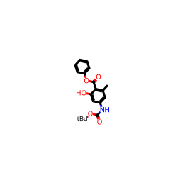 Cc1cc(NC(=O)OC(C)(C)C)cc(O)c1C(=O)Oc1ccccc1